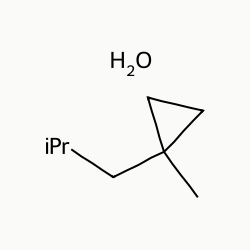 CC(C)CC1(C)CC1.O